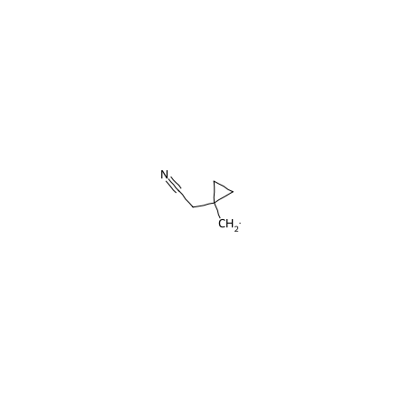 [CH2]C1(CC#N)CC1